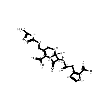 Cc1nnc(SCC2=C(C(=O)O)N3C(=O)C(NC(=O)Cc4ccsc4C(=O)O)[C@H]3SC2)s1